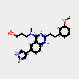 COc1cccc(CCc2nc(N(C)CCCO)c3cc(-c4cn[nH]c4)ccc3n2)c1